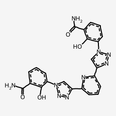 NC(=O)c1cccc(-n2cc(-c3cccc(-c4cn(-c5cccc(C(N)=O)c5O)nn4)n3)nn2)c1O